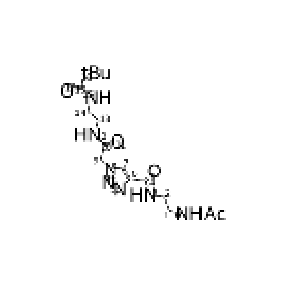 CC(=O)NCCNC(=O)c1cn(CC(=O)NCCNC(=O)C(C)(C)C)nn1